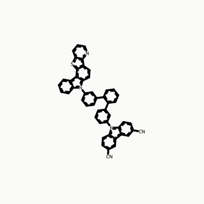 N#Cc1ccc2c(c1)c1cc(C#N)ccc1n2-c1cccc(-c2ccccc2-c2cccc(-n3c4ccccc4c4c5sc6cccnc6c5ccc43)c2)c1